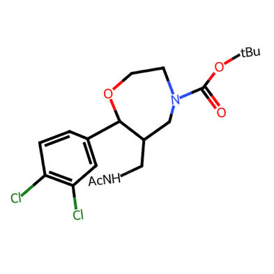 CC(=O)NCC1CN(C(=O)OC(C)(C)C)CCOC1c1ccc(Cl)c(Cl)c1